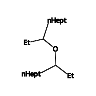 CCCCCCCC(CC)OC(CC)CCCCCCC